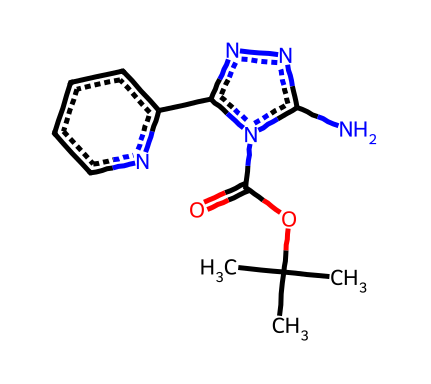 CC(C)(C)OC(=O)n1c(N)nnc1-c1ccccn1